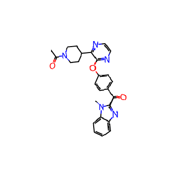 CC(=O)N1CCC(c2nccnc2Oc2ccc(C(=O)c3nc4ccccc4n3C)cc2)CC1